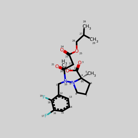 COC(=O)[C@@]1(C)CCCN1N(Cc1cccc(F)c1F)C(=O)CC(=O)OCC(C)C